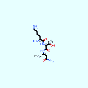 C[C@@H](O)[C@H](NC(=O)[C@@H](N)CCCCN)C(=O)N[C@@H](CC(N)=O)C(=O)O